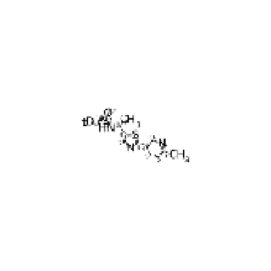 Cc1ccc(-c2ncc([C@H](C)N[S+]([O-])C(C)(C)C)s2)cn1